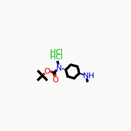 CN[C@H]1CC[C@H](N(C)C(=O)OC(C)(C)C)CC1.Cl.Cl